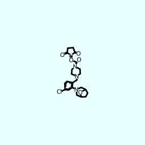 O=C(ON1C(=O)CCC1=O)N1CCN(Cc2ccc(Cl)cc2N2CC3CCC(C2)O3)CC1